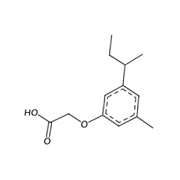 CCC(C)c1cc(C)cc(OCC(=O)O)c1